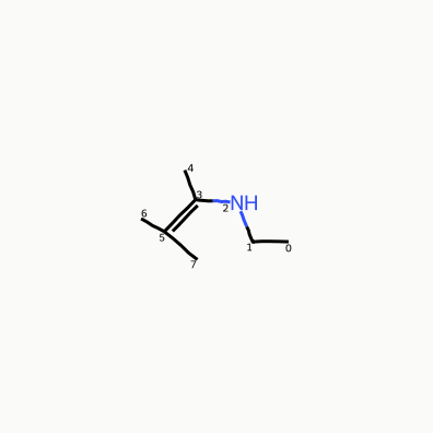 CCNC(C)=C(C)C